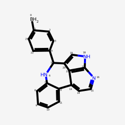 Bc1ccc(C2Nc3ccccc3-c3ccnc4[nH]cc2c34)cc1